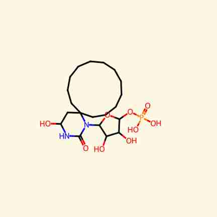 O=C1NC(O)CC2(CCCCCCCCCCCC2)N1C1OC(OP(=O)(O)O)C(O)C1O